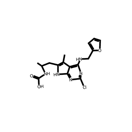 Cc1c(CC(C)NC(=O)O)[nH]c2nc(Cl)nc(NCc3ccco3)c12